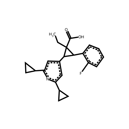 CCC1(C(=O)O)C(c2cc(C3CC3)nc(C3CC3)c2)C1c1ccccc1F